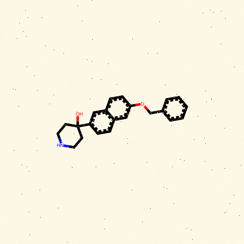 OC1(c2ccc3cc(OCc4ccccc4)ccc3c2)CCNCC1